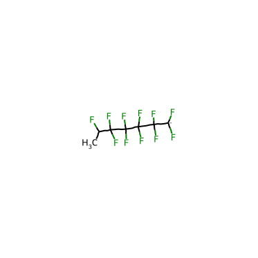 CC(F)C(F)(F)C(F)(F)C(F)(F)C(F)(F)[C](F)F